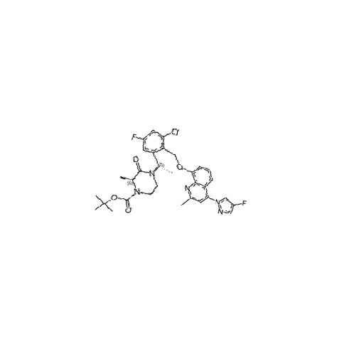 Cc1cc(-n2cc(F)cn2)c2cccc(OCc3c(Cl)cc(F)cc3[C@H](C)N3CCN(C(=O)OC(C)(C)C)[C@@H](C)C3=O)c2n1